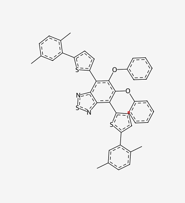 Cc1ccc(C)c(-c2ccc(-c3c(Oc4ccccc4)c(Oc4ccccc4)c(-c4ccc(-c5cc(C)ccc5C)s4)c4nsnc34)s2)c1